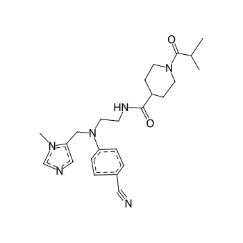 CC(C)C(=O)N1CCC(C(=O)NCCN(Cc2cncn2C)c2ccc(C#N)cc2)CC1